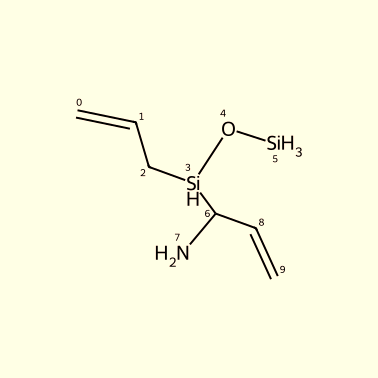 C=CC[SiH](O[SiH3])C(N)C=C